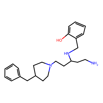 NCCC(CCN1CCC(Cc2ccccc2)CC1)NCc1ccccc1O